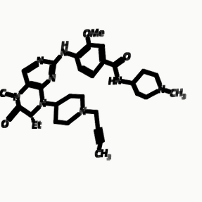 CC#CCN1CCC(N2c3nc(Nc4ccc(C(=O)NC5CCN(C)CC5)cc4OC)ncc3N(C)C(=O)[C@H]2CC)CC1